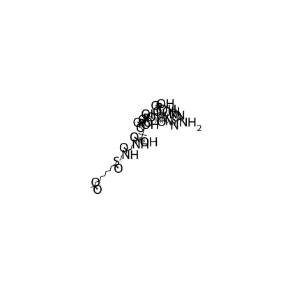 CC(=O)OCCCCCCC(=O)SCCNC(=O)CCNC(=O)[C@H](O)C(C)(C)COP(=O)(O)OP(=O)(O)OC[C@H]1O[C@@H](n2cnc3c(N)ncnc32)[C@H](O)[C@@H]1OP(=O)(O)O